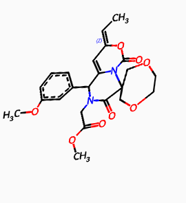 C/C=C1/C=C2C(c3cccc(OC)c3)N(CC(=O)OC)C(=O)C3(COCCOC3)N2C(=O)O1